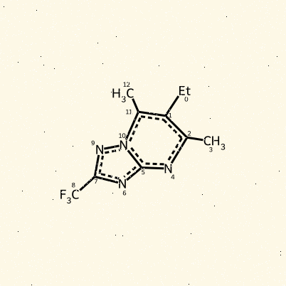 CCc1c(C)nc2nc(C(F)(F)F)nn2c1C